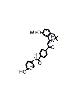 COc1ccc2c(c1)/C(=C/C(=O)c1ccc(C(=O)Nc3ccc(O)cc3)cc1)NC(C)(C)C2